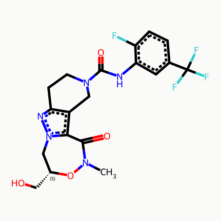 CN1O[C@H](CO)Cn2nc3c(c2C1=O)CN(C(=O)Nc1cc(C(F)(F)F)ccc1F)CC3